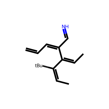 C=C\C=C(C=N)/C(=C\C)C(=C\C)/C(C)(C)C